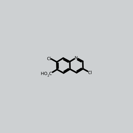 O=C(O)c1cc2cc(Cl)cnc2cc1Cl